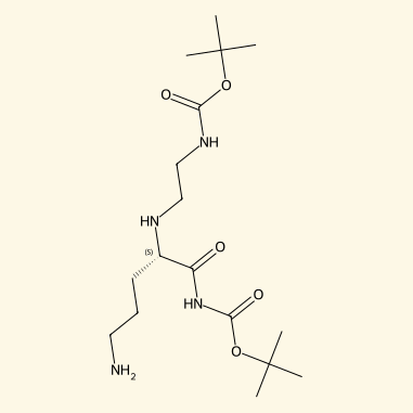 CC(C)(C)OC(=O)NCCN[C@@H](CCCN)C(=O)NC(=O)OC(C)(C)C